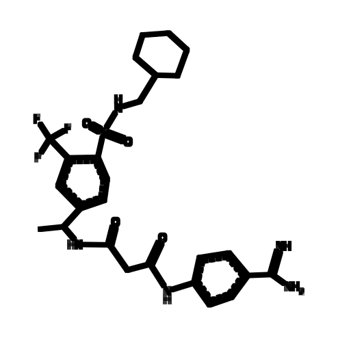 CC(NC(=O)CC(=O)Nc1ccc(C(=N)N)cc1)c1ccc(S(=O)(=O)NCC2CCCCC2)c(C(F)(F)F)c1